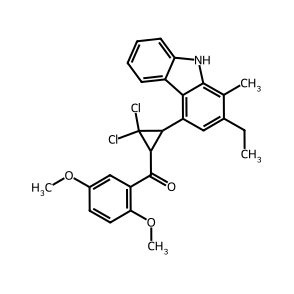 CCc1cc(C2C(C(=O)c3cc(OC)ccc3OC)C2(Cl)Cl)c2c([nH]c3ccccc32)c1C